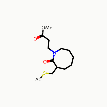 COC(=O)CCN1CCCCCC(CSC(C)=O)C1=O